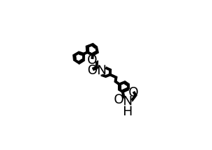 O=C1NCCOc2ccc(CCC3CCN(C(=O)COc4ccccc4-c4ccccc4)CC3)cc21